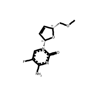 COC[C@H]1C=C[C@@H](n2cc(F)c(N)nc2=O)O1